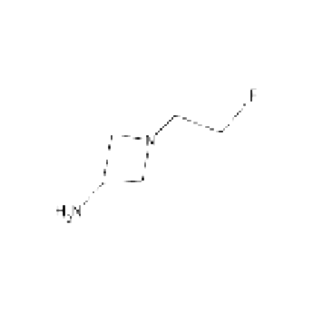 NC1CN(CCF)C1